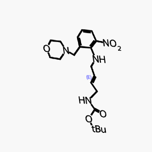 CC(C)(C)OC(=O)NC/C=C/CNc1c(CN2CCOCC2)cccc1[N+](=O)[O-]